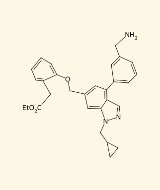 CCOC(=O)Cc1ccccc1OCc1cc(-c2cccc(CN)c2)c2cnn(CC3CC3)c2c1